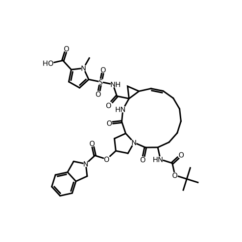 Cn1c(C(=O)O)ccc1S(=O)(=O)NC(=O)C12CC1C=CCCCCCC(NC(=O)OC(C)(C)C)C(=O)N1CC(OC(=O)N3Cc4ccccc4C3)CC1C(=O)N2